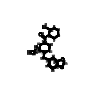 CCN1CCCC[C@H]1C(=O)N1CCN(Cc2ccc3c(c2)OCO3)CC1.Cl.Cl